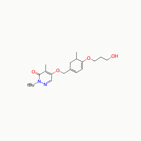 Cc1c(OCC2=CC=C(OCCCO)C(C)C2)cnn(C(C)(C)C)c1=O